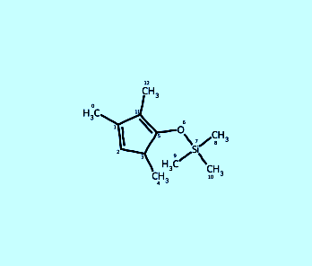 CC1=CC(C)C(O[Si](C)(C)C)=C1C